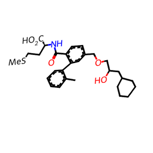 CSCC[C@H](NC(=O)c1ccc(COCC(O)CC2CCCCC2)cc1-c1ccccc1C)C(=O)O